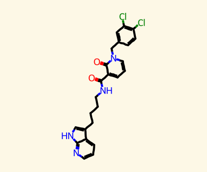 O=C(NCCCCc1c[nH]c2ncccc12)c1cccn(Cc2ccc(Cl)c(Cl)c2)c1=O